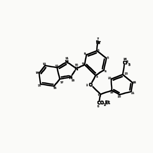 CCOC(=O)C(Oc1ccc(Br)cc1-n1nc2ccccc2n1)c1cccc(C(F)(F)F)c1